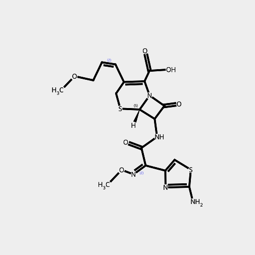 COC/C=C\C1=C(C(=O)O)N2C(=O)C(NC(=O)/C(=N\OC)c3csc(N)n3)[C@@H]2SC1